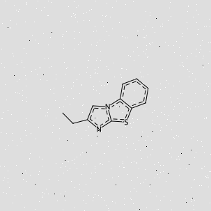 CCc1cn2c(n1)sc1ccccc12